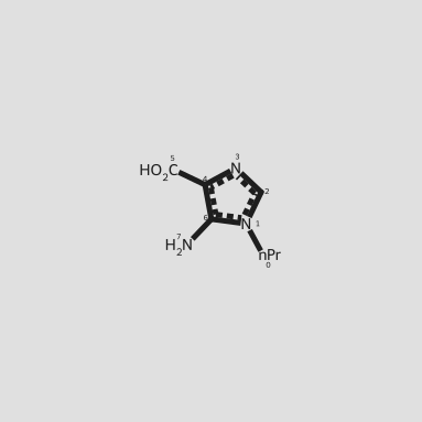 CCCn1cnc(C(=O)O)c1N